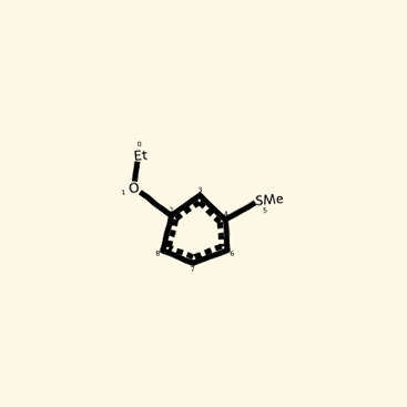 CCOc1[c]c(SC)ccc1